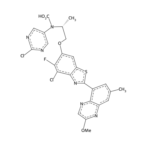 COc1cnc2c(-c3nc4c(Cl)c(F)c(OC[C@@H](C)N(C(=O)O)c5cnc(Cl)nc5)cc4s3)cc(C)cc2n1